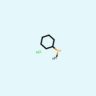 CCCPC1CCCCC1.Cl